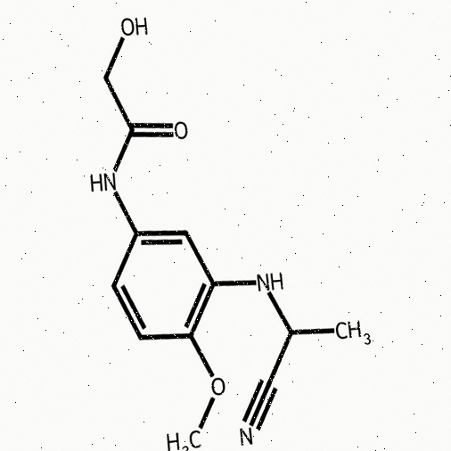 COc1ccc(NC(=O)CO)cc1NC(C)C#N